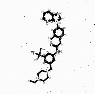 CCN1CCN(Cc2cc(NC(=O)Cc3ccc(-n4cnc5cccnc54)cc3C)cc(C(F)(F)F)c2)CC1